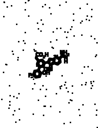 N=C(N)c1ccc2[nH]c(-c3cc(CC(=O)O)cc(-c4cc(F)ccc4O)c3O)cc2n1